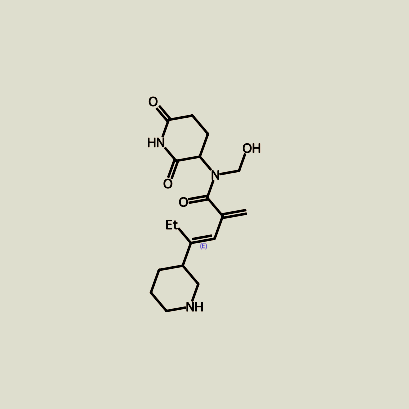 C=C(/C=C(\CC)C1CCCNC1)C(=O)N(CO)C1CCC(=O)NC1=O